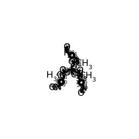 CCC(COC(=O)N(C)Cc1ccc(N=C=O)cc1)(COC(=O)N(C)Cc1ccc(N=C=O)cc1)COC(=O)N(C)Cc1ccc(N=C=O)cc1